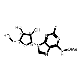 CONc1nc(F)nc2c1ncn2[C@@H]1O[C@H](CO)[C@@H](O)[C@H]1O